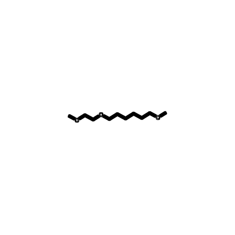 COCCCCCCOCCOC